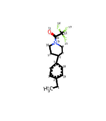 CCc1ccc(C2CCN(C(=O)C(F)(F)F)CC2)cc1